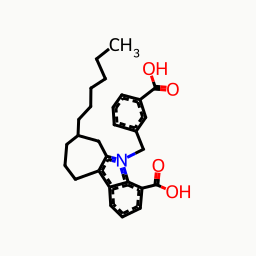 CCCCCCC1CCCc2c(n(Cc3cccc(C(=O)O)c3)c3c(C(=O)O)cccc23)C1